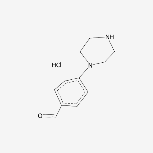 Cl.O=Cc1ccc(N2CCNCC2)cc1